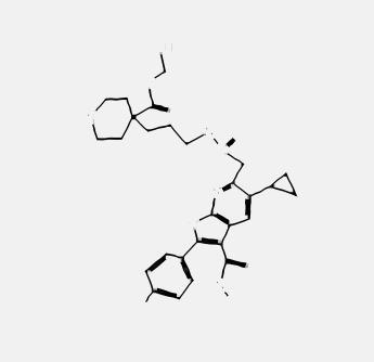 CCOC(=O)C1(CCCNS(=O)(=O)Cc2nc3oc(-c4ccc(C)cc4)c(C(=O)NC)c3cc2C2CC2)CCNCC1